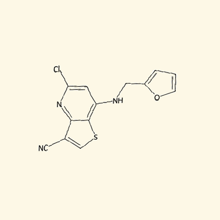 N#Cc1csc2c(NCc3ccco3)cc(Cl)nc12